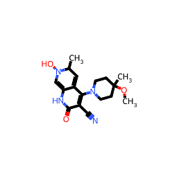 COC1(C)CCN(c2c(C#N)c(=O)[nH]c3c2=CC(C)N(O)C=3)CC1